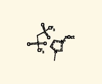 CCCCCCCC[n+]1ccn(C)c1.O=S(=O)(CS(=O)(=O)C(F)(F)F)C(F)(F)F